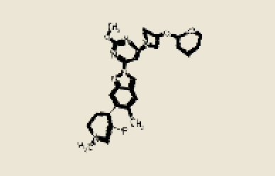 COc1nc(N2CC(OC3CCCCO3)C2)cc(-n2cc3cc(C)c([C@H]4CCN(C)C[C@H]4F)cc3n2)n1